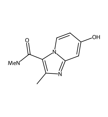 CNC(=O)c1c(C)nc2cc(O)ccn12